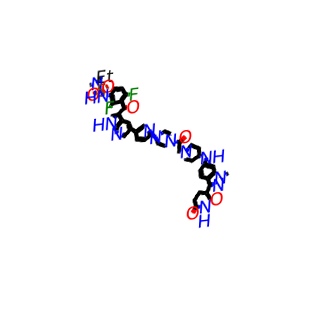 CCN(C)S(=O)(=O)Nc1ccc(F)c(C(=O)c2c[nH]c3ncc(-c4ccc(N5CCN(C(=O)CN6CCC(Nc7ccc8c(C9CCC(=O)NC9=O)nn(C)c8c7)CC6)CC5)nc4)cc23)c1F